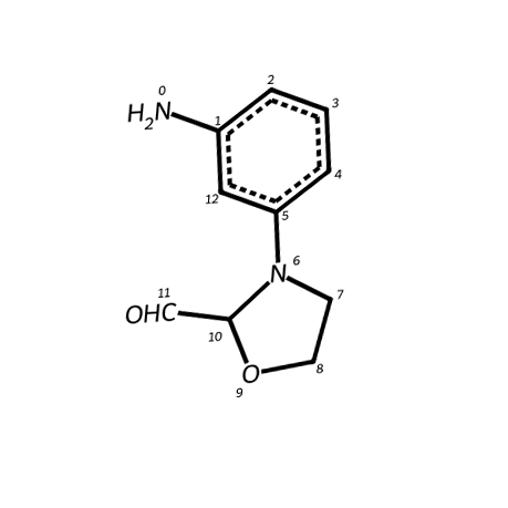 Nc1cccc(N2CCOC2C=O)c1